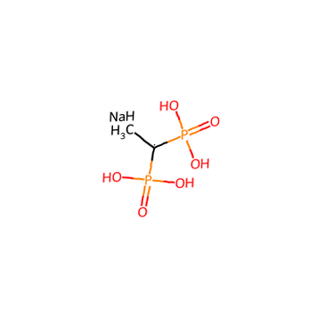 C[C](P(=O)(O)O)P(=O)(O)O.[NaH]